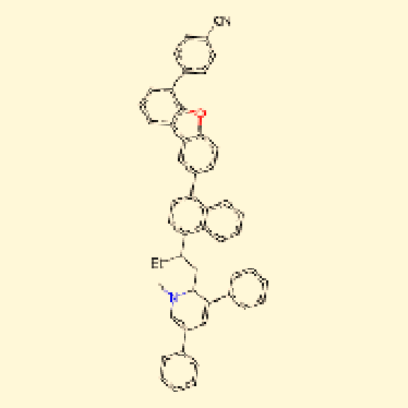 CCC(CC1C(c2ccccc2)=CC(c2ccccc2)=CN1C)c1ccc(-c2ccc3oc4c(-c5ccc(C#N)cc5)cccc4c3c2)c2ccccc12